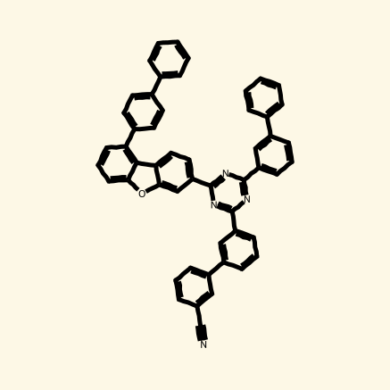 N#Cc1cccc(-c2cccc(-c3nc(-c4cccc(-c5ccccc5)c4)nc(-c4ccc5c(c4)oc4cccc(-c6ccc(-c7ccccc7)cc6)c45)n3)c2)c1